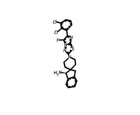 N[C@@H]1c2ccccc2CC12CCN(c1nn3c(F)c(-c4cccc(Cl)c4Cl)nc3s1)CC2